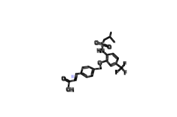 CC(C)CS(=O)(=O)Nc1ccc(C(F)(F)F)cc1OCc1ccc(/C=C/C(=O)O)cc1